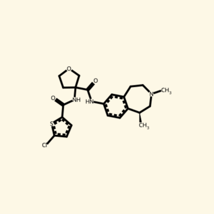 C[C@@H]1CN(C)CCc2cc(NC(=O)C3(NC(=O)c4ccc(Cl)s4)CCOC3)ccc21